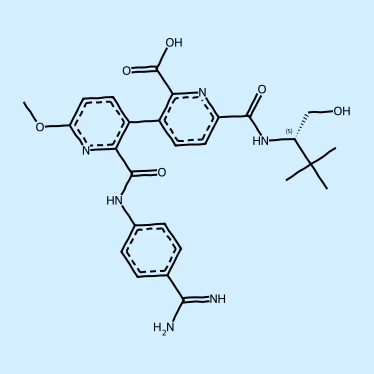 COc1ccc(-c2ccc(C(=O)N[C@H](CO)C(C)(C)C)nc2C(=O)O)c(C(=O)Nc2ccc(C(=N)N)cc2)n1